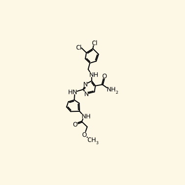 COCC(=O)Nc1cccc(Nc2ncc(C(N)=O)c(NCc3ccc(Cl)c(Cl)c3)n2)c1